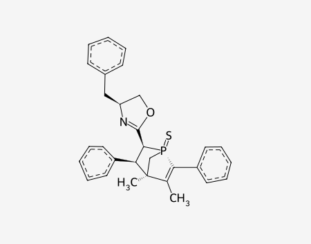 CC1=C(c2ccccc2)[P@]2(=S)C[C@]1(C)[C@@H](c1ccccc1)[C@H]2C1=N[C@@H](Cc2ccccc2)CO1